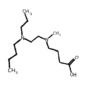 CCCCN(CCC)CCN(C)CCCC(=O)O